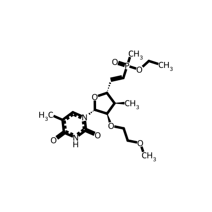 CCOP(C)(=O)/C=C/[C@H]1O[C@@H](n2cc(C)c(=O)[nH]c2=O)[C@H](OCCOC)[C@@H]1C